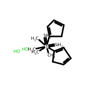 Cl.Cl.[CH3][Ti]([CH3])([CH3])([CH3])(=[SiH2])(=[SiH2])([C]1=CC=CC1)[C]1=CC=CC1